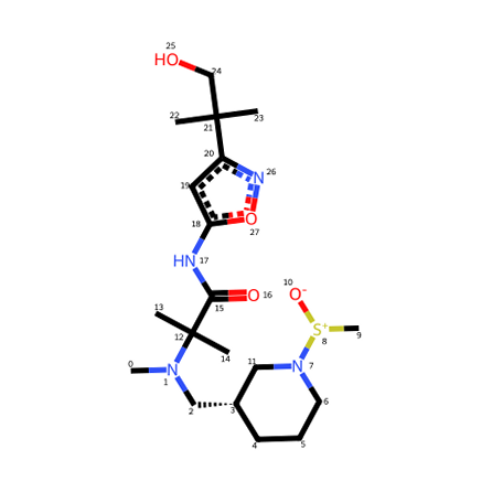 CN(C[C@H]1CCCN([S+](C)[O-])C1)C(C)(C)C(=O)Nc1cc(C(C)(C)CO)no1